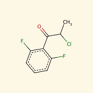 CC(Cl)C(=O)c1c(F)cccc1F